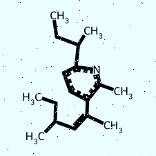 CCC(C)/C=C(/C)c1ccc(C(C)CC)nc1C